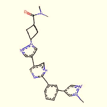 CN(C)C(=O)C1CC(n2cc(-c3cnc(-c4cccc(-c5cnn(C)c5)c4)nc3)cn2)C1